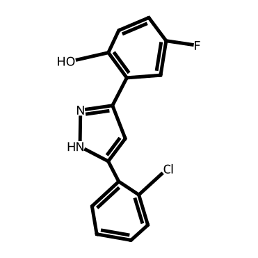 Oc1ccc(F)cc1-c1cc(-c2ccccc2Cl)[nH]n1